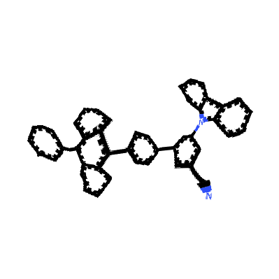 N#Cc1cc(-c2ccc(-c3c4ccccc4c(-c4ccccc4)c4ccccc34)cc2)cc(-n2c3ccccc3c3ccccc32)c1